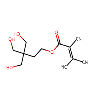 N#CC(C#N)=C(C#N)C(=O)OCCC(CO)(CO)CO